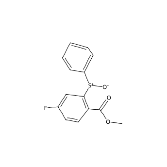 COC(=O)c1ccc(F)cc1[S+]([O-])c1ccccc1